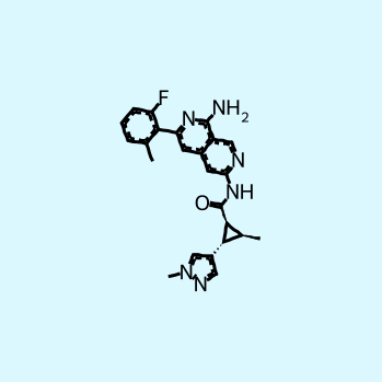 Cc1cccc(F)c1-c1cc2cc(NC(=O)[C@H]3[C@@H](C)[C@@H]3c3cnn(C)c3)ncc2c(N)n1